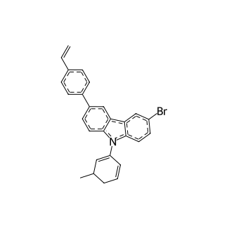 C=Cc1ccc(-c2ccc3c(c2)c2cc(Br)ccc2n3C2=CC(C)CC=C2)cc1